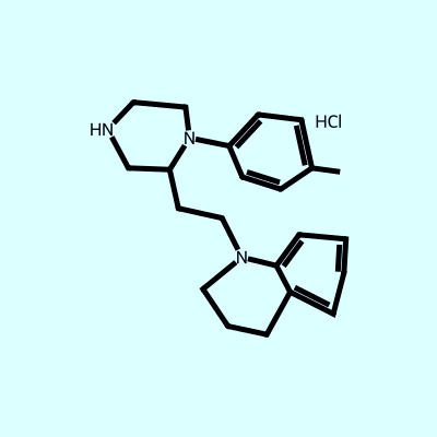 Cc1ccc(N2CCNCC2CCN2CCCc3ccccc32)cc1.Cl